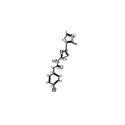 Cc1ncsc1-c1csc(NC(=O)Cc2ccc(Br)cc2)n1